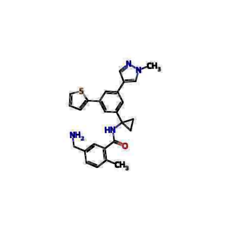 Cc1ccc(CN)cc1C(=O)NC1(c2cc(-c3cnn(C)c3)cc(-c3cccs3)c2)CC1